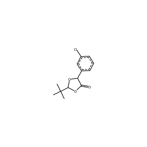 CC(C)(C)C1OC(=O)C(c2cccc(Cl)c2)O1